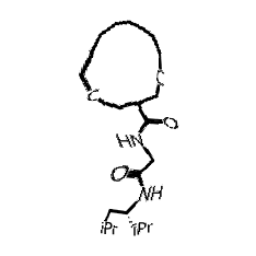 CC(C)C[C@H](NC(=O)CNC(=O)C1CCCCCCCCCCCC1)C(C)C